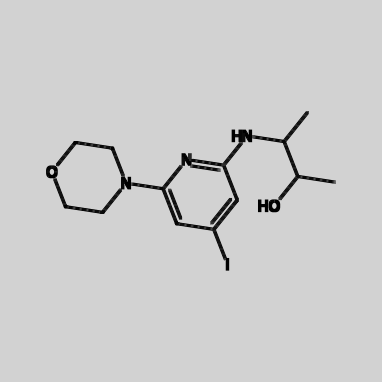 CC(O)C(C)Nc1cc(I)cc(N2CCOCC2)n1